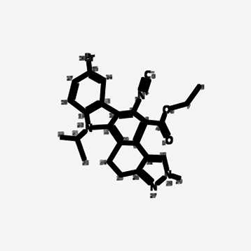 [C-]#[N+]c1c(C(=O)OCC)c2c(c3c1c1cc(Br)ccc1n3C(C)C)CCc1nn(C)cc1-2